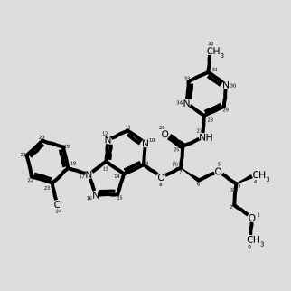 COC[C@H](C)OC[C@@H](Oc1ncnc2c1cnn2-c1ccccc1Cl)C(=O)Nc1cnc(C)cn1